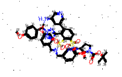 COc1ccc(CN(Cc2ccc(OC)cc2)S(=O)(=O)c2c(S(=O)(=O)NC3CCN(C(=O)OC(C)(C)C)C3)ccc(-c3cncc(N)c3)c2-c2nnn(Cc3ccc(OC)cc3)n2)cc1